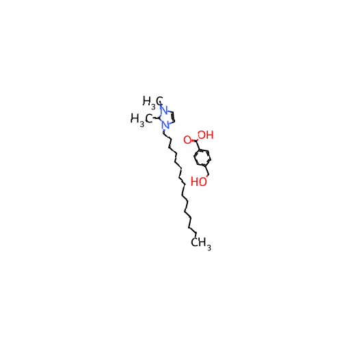 CCCCCCCCCCCCCCCN1C=CN(C)C1C.O=C(O)c1ccc(CO)cc1